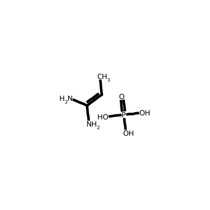 CC=C(N)N.O=P(O)(O)O